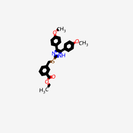 CCOC(=O)c1cccc(CSc2nc(-c3ccc(OC)cc3)c(-c3ccc(OC)cc3)[nH]2)c1